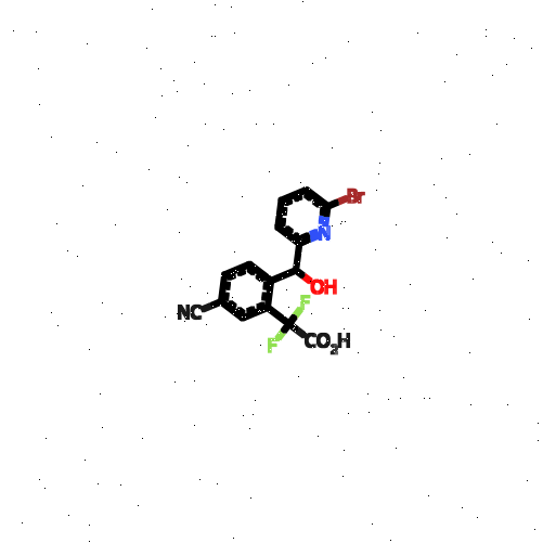 N#Cc1ccc(C(O)c2cccc(Br)n2)c(C(F)(F)C(=O)O)c1